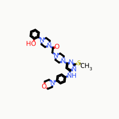 CSc1nc(Nc2ccc(N3CCOCC3)cc2)cc(N2CCN(CC(=O)N3CCN(c4ccccc4O)CC3)CC2)n1